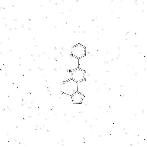 O=c1[nH]c(-c2ccccn2)nnc1-c1sccc1Br